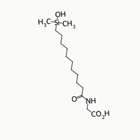 C[Si](C)(O)CCCCCCCCCCC(=O)NCC(=O)O